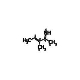 C/C=C(\C)C(C)=N